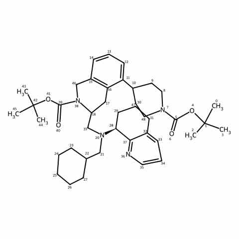 CC(C)(C)OC(=O)N1CCC(c2cccc3c2CC(CN(CC2CCCCC2)[C@H]2CCCc4cccnc42)N(C(=O)OC(C)(C)C)C3)CC1